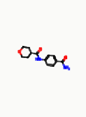 NC(=O)c1ccc(NC(=O)C2CCOCC2)cc1